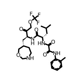 Cc1ccccc1NC(=O)C(=O)N[C@@H](CC(C)C)C(=O)N[C@@H](C[C@@H]1CCNCOC1)C(=O)COC(F)(F)F